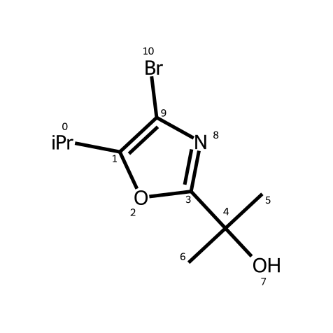 CC(C)c1oc(C(C)(C)O)nc1Br